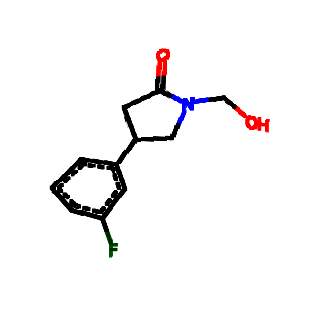 O=C1CC(c2cccc(F)c2)CN1CO